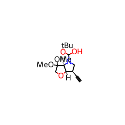 C#C[C@@H]1CN(C(O)OC(C)(C)C)[C@H]2[C@@H]1OCC2(OC)OC